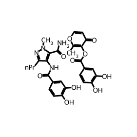 CCCc1nn(C)c(C(N)=O)c1NC(=O)c1ccc(O)c(O)c1.Cc1occc(=O)c1OC(=O)c1ccc(O)c(O)c1